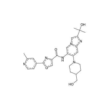 Cc1cc(-c2nc(C(=O)Nc3cn4cc(C(C)(C)O)nc4cc3N3CCC(CO)CC3)co2)ccn1